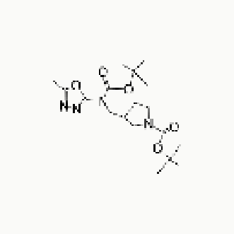 Cc1nnc(N(CC2CCN(C(=O)OC(C)(C)C)C2)C(=O)OC(C)(C)C)o1